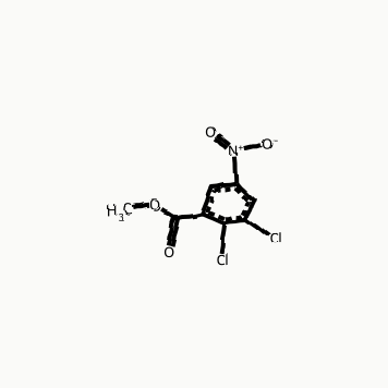 COC(=O)c1cc([N+](=O)[O-])cc(Cl)c1Cl